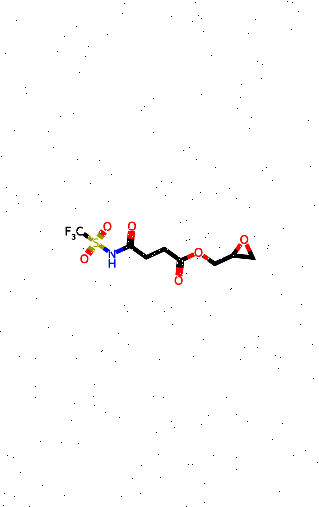 O=C(CCC(=O)OCC1CO1)NS(=O)(=O)C(F)(F)F